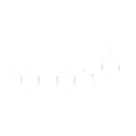 O=C(Nc1ccc(Oc2ccc([N+](=O)[O-])cc2)cc1)c1cc(F)c(F)c(F)c1F